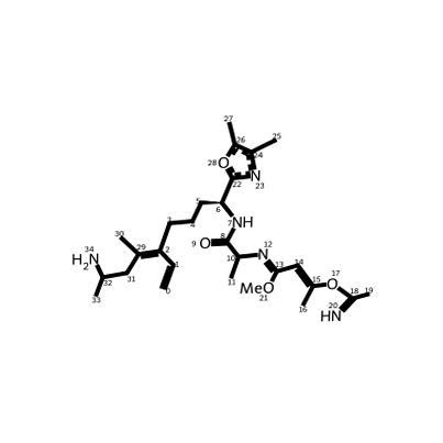 C=C/C(CCC[C@H](NC(=O)C(C)/N=C(/C=C(\C)OC(C)=N)OC)c1nc(C)c(C)o1)=C(/C)CC(C)N